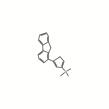 C[Si](C)(C)C1=CCC(c2cccc3c2[CH]c2ccccc2-3)=C1